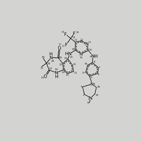 CN1CCN(c2ccc(Nc3ncc(C(F)(F)F)c(Nc4cccc5c4C(=O)NC(C)(C)C(=O)N5)n3)cc2)CC1